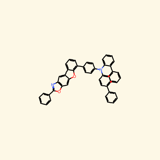 c1ccc(-c2ccc(N(c3ccc(-c4cccc5c4oc4cc6oc(-c7ccccc7)nc6cc45)cc3)c3ccccc3-c3ccccc3)cc2)cc1